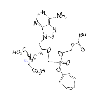 C[C@H](Cn1cnc2c(N)ncnc21)OCP(=O)(OCOC(=O)C(C)(C)C)Oc1ccccc1.O=C(O)/C=C/C(=O)O